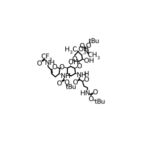 CN(C(=O)OC(C)(C)C)[C@@H]1[C@@H](O)[C@@H](O[C@@H]2[C@@H](O)[C@H](O[C@H]3OC(CNC(=O)C(F)(F)F)=CC[C@H]3NC(=O)OC(C)(C)C)CC[C@H]2NC(=O)[C@@H](O)CCNC(=O)OC(C)(C)C)OC[C@]1(C)O